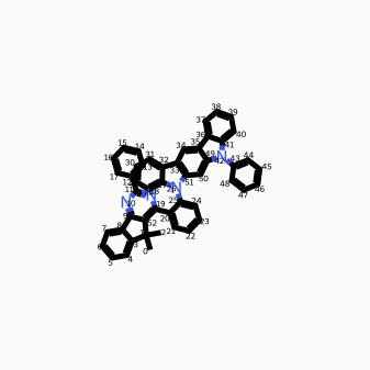 CC1(C)c2ccccc2-c2nc(-c3ccccc3)nc(-c3ccccc3-n3c4ccccc4c4cc5c6ccccc6n(-c6ccccc6)c5cc43)c21